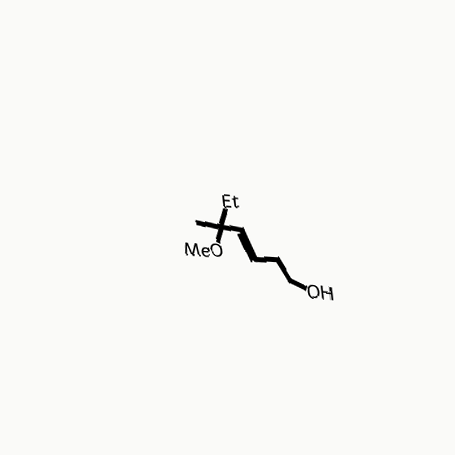 CCC(C)(C=CCCO)OC